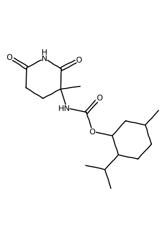 CC1CCC(C(C)C)C(OC(=O)NC2(C)CCC(=O)NC2=O)C1